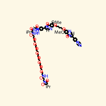 COc1cc2c(cc1OCCCCCOc1cc3c(cc1OC)C(=O)N1C=C(c4ccc(N5CCN(C)CC5)cc4)C[C@H]1C=N3)N=C[C@@H]1CC(c3ccc(NC(=O)[C@H](C)NC(=O)[C@@H](NC(=O)CCOCCOCCOCCOCCOCCOCCOCCOCCNC(=O)CCN4C(=O)CC(C(C)C)C4=O)C(C)C)cc3)=CN1C2=O